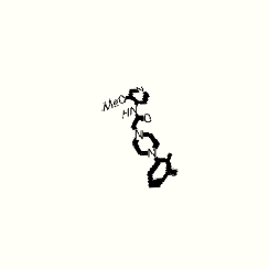 COc1cnccc1NC(=O)CN1CCN(c2cccc(C)c2C)CC1